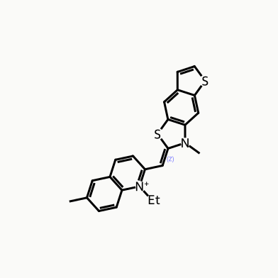 CC[n+]1c(/C=C2\Sc3cc4ccsc4cc3N2C)ccc2cc(C)ccc21